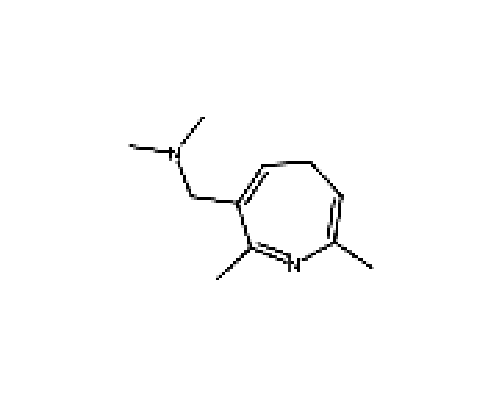 CC1=CCC=C(CN(C)C)C(C)=N1